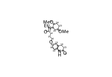 CCN(C(=O)CCCOc1ccc2c(c1)CCC(=O)N2)C1CC(OC)CCC1OC